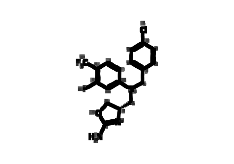 NC1=N[C@@H](CN(Cc2ccc(Cl)cc2)c2ccc(C(F)(F)F)c(F)c2)CO1